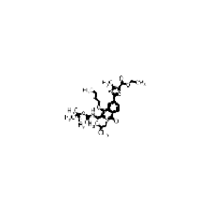 CCCCOc1c(CNC(=O)OC(C)(C)C)n(CC(C)C)c(=O)c2ccc(-c3nc(C)c(C(=O)OCC)s3)cc12